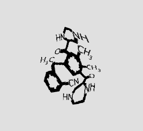 Cc1c(C(=O)C2CNCCN2)cc(C(C)c2ccccc2C#N)c(C(=O)C2CNCCN2)c1C